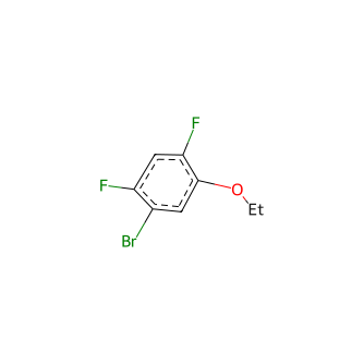 [CH2]COc1cc(Br)c(F)cc1F